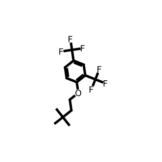 CC(C)(C)CCOc1ccc(C(F)(F)F)cc1C(F)(F)F